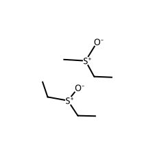 CC[S+](C)[O-].CC[S+]([O-])CC